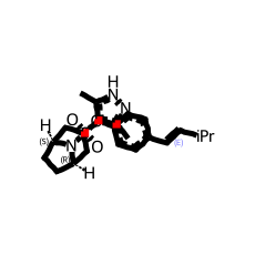 Cc1n[nH]c(C)c1S(=O)(=O)N1[C@@H]2CC[C@H]1C[C@@H](Oc1ccc(/C=C/C(C)C)cc1)C2